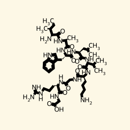 CC[C@H](C)[C@H](N)C(=O)N[C@@H](C)C(=O)N[C@@H](Cc1c[nH]c2ccccc12)C(=O)N[C@@H](CC(C)C)C(=O)N[C@H](C(=O)N[C@@H](CCCCN)C(=O)NCC(=O)N[C@@H](CCCNC(=N)N)C(=O)NCC(=O)O)C(C)C